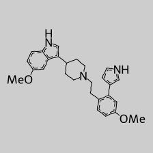 COc1ccc(CCN2CCC(c3c[nH]c4ccc(OC)cc34)CC2)c(-c2cc[nH]c2)c1